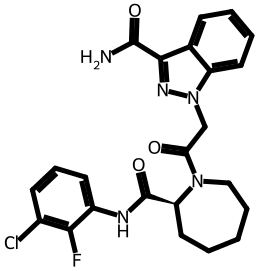 NC(=O)c1nn(CC(=O)N2CCCCC[C@H]2C(=O)Nc2cccc(Cl)c2F)c2ccccc12